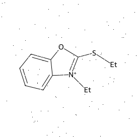 CCSc1oc2ccccc2[n+]1CC